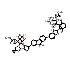 [2H]C([2H])([2H])C([2H])(C([2H])([2H])[2H])[C@@]([2H])(NC(=O)OC)C(=O)C1[C@@H]2CC[C@@H](C2)[C@H]1c1nc2ccc(-c3ccc4c(c3)C(F)(F)c3cc(-c5cnc([C@@H]6CC7(CC7)CN6C(=O)[C@]([2H])(NC(=O)OC)C([2H])(C([2H])([2H])[2H])C([2H])([2H])[2H])[nH]5)ccc3-4)cc2[nH]1